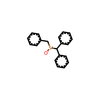 [O-][S+](Cc1ccccc1)C(c1ccccc1)c1ccccc1